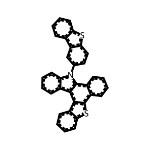 c1ccc2c(c1)sc1ccc(-n3c4ccccc4c4c5c6ccccc6sc5c5ccccc5c43)cc12